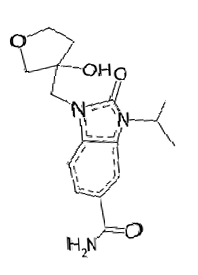 CC(C)n1c(=O)n(CC2(O)CCOC2)c2ccc(C(N)=O)cc21